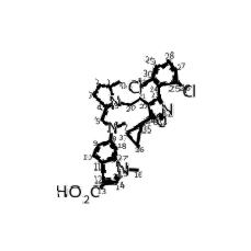 CC1CCC(CN(C)c2ccc3c(C(=O)O)cn(C)c3c2)N1CCc1c(-c2c(Cl)cccc2Cl)noc1C1CC1